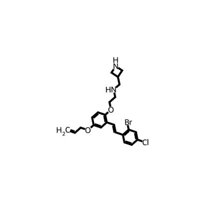 C=CCOc1ccc(OCCNCC2CNC2)c(/C=C/c2ccc(Cl)cc2Br)c1